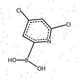 OB(O)c1cc(Cl)cc(Cl)n1